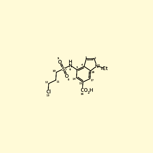 CCn1ccc2c(NS(=O)(=O)CCCCl)cc(C(=O)O)cc21